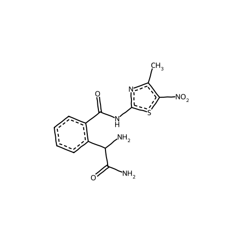 Cc1nc(NC(=O)c2ccccc2C(N)C(N)=O)sc1[N+](=O)[O-]